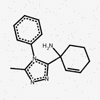 Cc1nnc(C2(N)C=CCCC2)n1-c1ccccc1